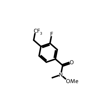 CON(C)C(=O)c1ccc(CC(F)(F)F)c(F)c1